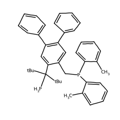 Cc1ccccc1P(Cc1cc(-c2ccccc2)c(-c2ccccc2)cc1C(P)(C(C)(C)C)C(C)(C)C)c1ccccc1C